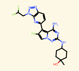 CC1(O)CCC(Nc2nc(N)c3c(-c4ccc5nnn(CC(F)F)c5n4)c(F)cn3n2)CC1